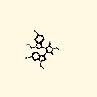 CCn1cc(C2=C(c3cn(CO)c4cc(Br)ccc34)C(=O)N(CO)C2=O)c2ccc(Br)cc21